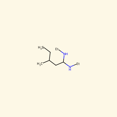 CCNC(CC(C)C[SiH3])NCC